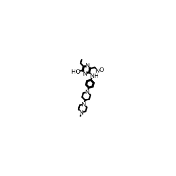 CCc1nc(CN=O)c(Nc2ccc(N3CCC(N4CCN(C)CC4)CC3)cc2)nc1O